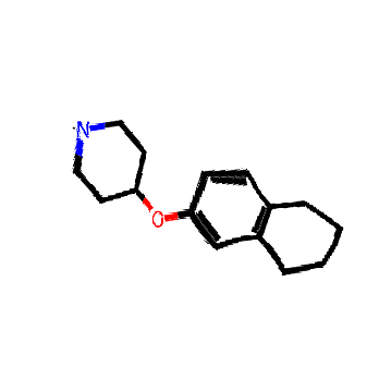 c1cc2c(cc1OC1CC[N]CC1)CCCC2